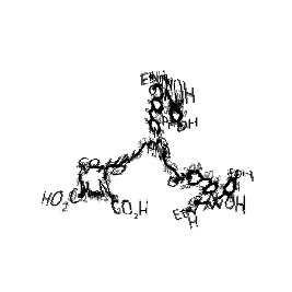 CCNC(=O)c1nnc(-c2cc(C(C)C)c(O)cc2O)n1-c1ccc(CC2CCN(C(=O)CCC(=O)N[C@@H](CCCCNC(=O)CN3CCN(CC(=O)O)CCN(CC(=O)O)CCN(CC(=O)O)CC3)C(=O)N3CCC(Cc4ccc(-n5c(C(=O)NCC)nnc5-c5cc(C(C)C)c(O)cc5O)cc4)CC3)CC2)cc1